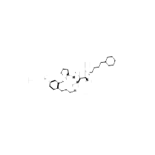 COc1ccc(CCCC(=O)O)c(CN2CCC[C@H]2c2nc(C(=O)NCCCCC3CCCCC3)co2)c1